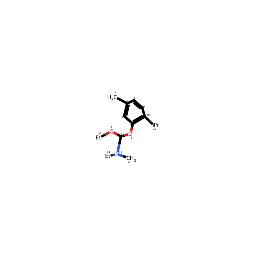 CCOC(Oc1cc(C)ccc1C(C)C)N(C)CC